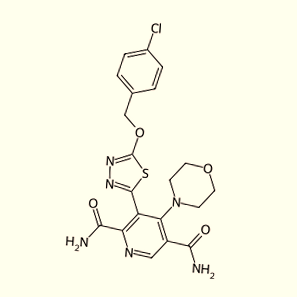 NC(=O)c1cnc(C(N)=O)c(-c2nnc(OCc3ccc(Cl)cc3)s2)c1N1CCOCC1